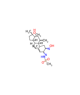 C=C1C[C@@]2(C)[C@@H](CC[C@]2(C)O)[C@@H]2CCC3=CC(=NNS(C)(=O)=O)C(=NO)C[C@]3(C)[C@@H]12